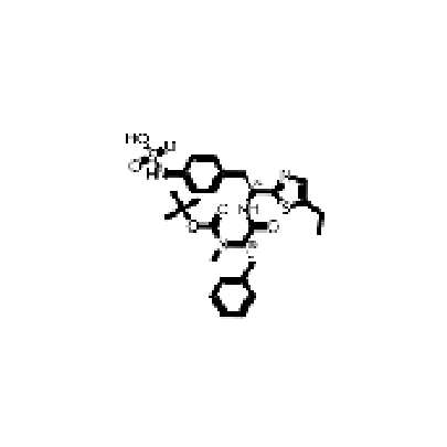 CCc1cnc([C@H](Cc2ccc(NS(=O)(=O)O)cc2)NC(=O)[C@H](Cc2ccccc2)N(C)C(=O)OC(C)(C)C)s1